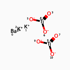 [Ba+2].[K+].[K+].[O]=[Ti]([O-])[O-].[O]=[Ti]([O-])[O-]